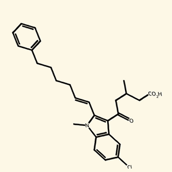 CC(CC(=O)O)CC(=O)c1c(/C=C/CCCCc2ccccc2)n(C)c2ccc(Cl)cc12